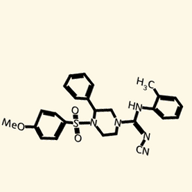 COc1ccc(S(=O)(=O)N2CCN(/C(=N\C#N)Nc3ccccc3C)CC2c2ccccc2)cc1